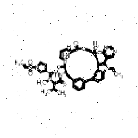 C=CS(=O)(=O)N1CC[C@@H](C(=O)N(C)C(C(=O)N[C@H]2Cc3cccc(c3)-c3ccc4c(c3)c(c(-c3cncnc3)n4CC)CC(C)(C)COC(=O)[C@@H]3CCCN(N3)C2=O)C(C)C)C1